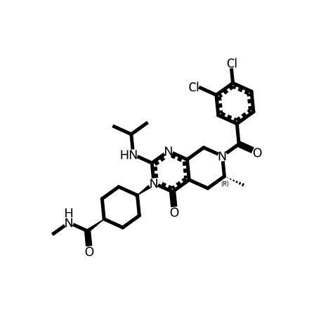 CNC(=O)[C@H]1CC[C@@H](n2c(NC(C)C)nc3c(c2=O)C[C@@H](C)N(C(=O)c2ccc(Cl)c(Cl)c2)C3)CC1